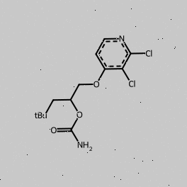 CC(C)(C)CC(COc1ccnc(Cl)c1Cl)OC(N)=O